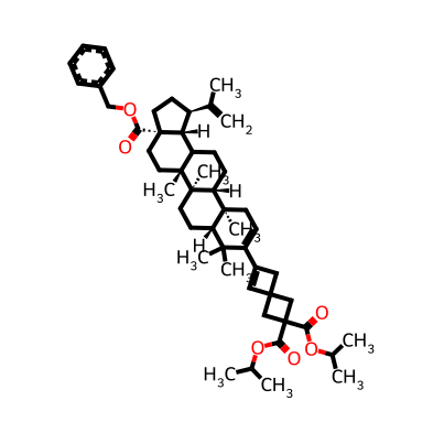 C=C(C)[C@@H]1CC[C@]2(C(=O)OCc3ccccc3)CC[C@]3(C)C(CC[C@@H]4[C@@]5(C)CC=C(C6=CC7(C6)CC(C(=O)OC(C)C)(C(=O)OC(C)C)C7)C(C)(C)[C@@H]5CC[C@]43C)[C@@H]12